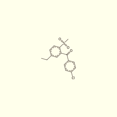 CCc1ccc(S(C)(=O)=O)c(C(=O)c2ccc(Cl)cc2)c1